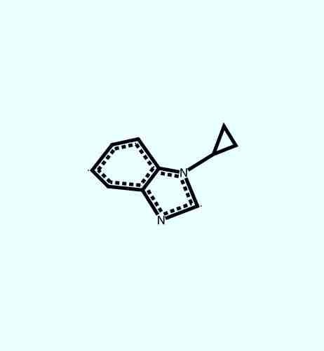 [c]1ccc2c(c1)n[c]n2C1CC1